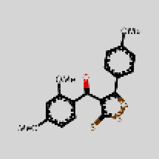 COc1ccc(-c2ssc(=S)c2C(=O)c2ccc(OC)cc2OC)cc1